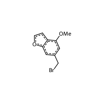 COc1cc(CBr)cc2occc12